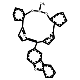 CB1Oc2ccccc2C2=N/C(=C(/c3ccc4oc5ccccc5c4c3)c3ccc([nH]3)-c3ccccc3O1)C=C2